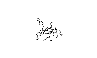 C=C/C(=C\C=C/C)S(=O)(=O)C1c2c(F)ccc(F)c2OCC1[C@H](CCS(=O)(=O)N(Cc1ccc(OC)cc1)Cc1ccc(OC)cc1)C(=O)CCC